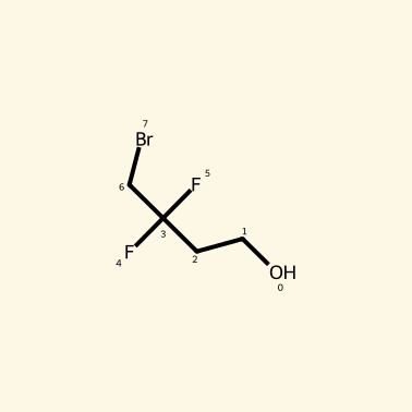 OCCC(F)(F)CBr